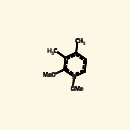 COc1c(C)c(C)cc[si]1OC